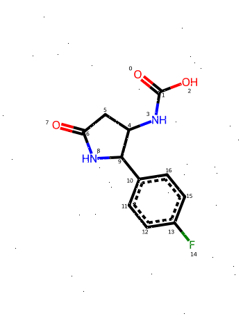 O=C(O)NC1CC(=O)NC1c1ccc(F)cc1